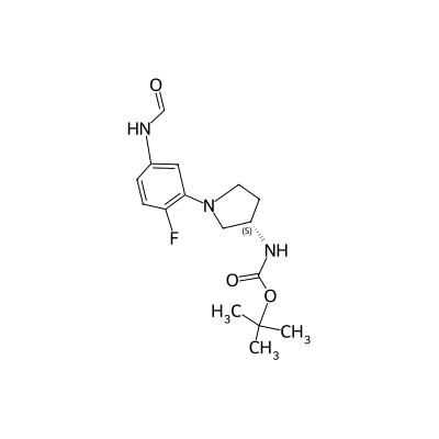 CC(C)(C)OC(=O)N[C@H]1CCN(c2cc(NC=O)ccc2F)C1